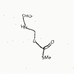 CSC(=O)OCN[C]=O